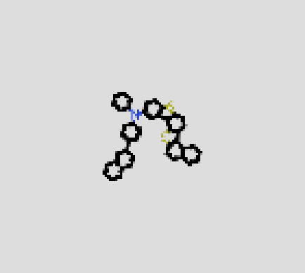 c1ccc(N(c2ccc(-c3ccc4ccccc4c3)cc2)c2ccc3sc4ccc5c(sc6ccc7ccccc7c65)c4c3c2)cc1